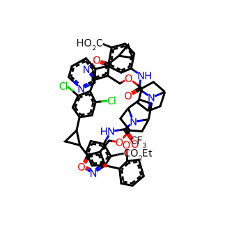 CCOC(=O)c1ccccc1NC(=O)N1C2CCC1CC(OCc1c(-c3ccccc3OC(F)(F)F)noc1C1CC1c1cc(Cl)c(-c3noc(C4CC4)c3COC3CC4CC(C3)N4C(=O)Nc3ccc(C(=O)O)c(-c4cccnc4)c3)c(Cl)c1)C2